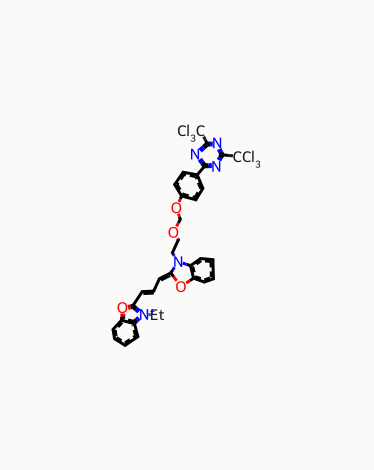 CC[n+]1c(C=CC=C2Oc3ccccc3N2CCOCOc2ccc(-c3nc(C(Cl)(Cl)Cl)nc(C(Cl)(Cl)Cl)n3)cc2)oc2ccccc21